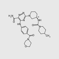 CC1CCN(C(=O)N[C@@H]2CCCN(c3nnc(C(N)=O)c(Nc4ccc(C(=O)N5CCOCC5)cc4)n3)C2)CC1